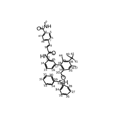 CNC(=O)c1ccc(C=CC(=O)Nc2cccc(-c3c(CO[SiH](c4ccccc4)c4ccccc4)cc(C)c(C(C)(C)C)c3C)c2)cc1